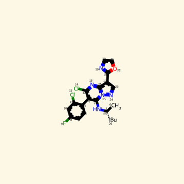 C[C@@H](Nc1c(-c2ccc(F)cc2Cl)c(Cl)nc2c(-c3ncco3)cnn12)C(C)(C)C